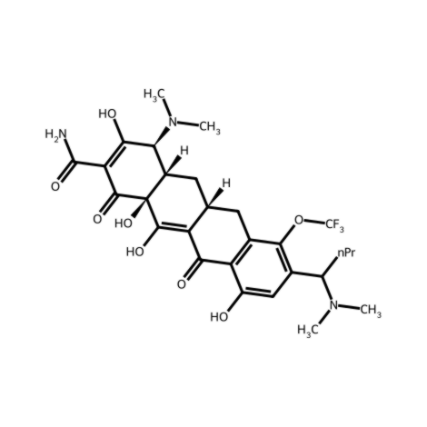 CCCC(c1cc(O)c2c(c1OC(F)(F)F)C[C@H]1C[C@H]3[C@H](N(C)C)C(O)=C(C(N)=O)C(=O)[C@@]3(O)C(O)=C1C2=O)N(C)C